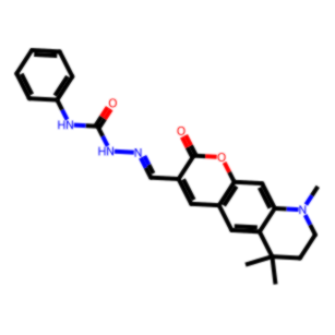 CN1CCC(C)(C)c2cc3cc(/C=N/NC(=O)Nc4ccccc4)c(=O)oc3cc21